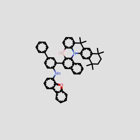 CC1(C)CCC(C)(C)c2cc3c(cc21)N1c2c(cccc2C3(C)C)Bc2c(-c3cc(-c4ccccc4)ccc3Nc3cccc4c3oc3ccccc34)cc3ccccc3c21